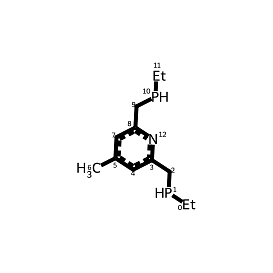 CCPCc1cc(C)cc(CPCC)n1